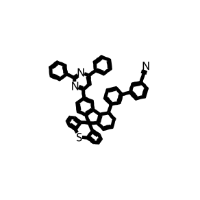 N#Cc1cccc(-c2cccc(C3CC=CC4=C3c3cc(-c5cc(-c6ccccc6)nc(-c6ccccc6)n5)ccc3C43c4ccccc4Sc4ccccc43)c2)c1